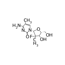 Cc1cn([C@@H]2O[C@H](CO)C(O)C2(C)F)c(=O)nc1N